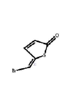 O=C1C=C/C(=C\Br)S1